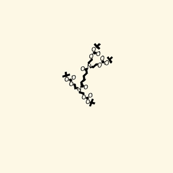 CC(C)(C)OC(=O)OCCN(CCOC(=O)OC(C)(C)C)C(=O)CCCCC(=O)N(CCOC(=O)OC(C)(C)C)CCOC(=O)OC(C)(C)C